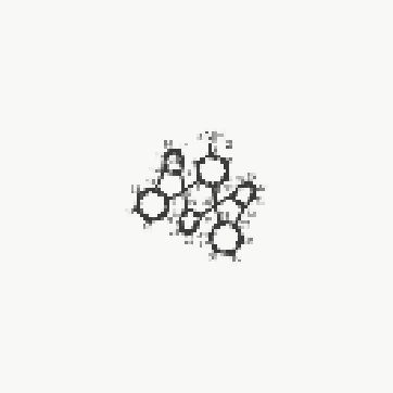 Nc1ccc2c(c1)C1(c3ccccc3-c3ccccc31)c1ccccc1C21c2ccccc2-c2ccccc21